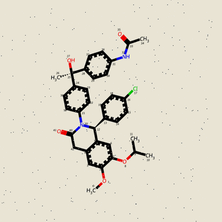 COc1cc2c(cc1OC(C)C)[C@H](c1ccc(Cl)cc1)N(c1ccc([C@@](C)(O)c3ccc(NC(C)=O)cc3)cc1)C(=O)C2